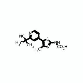 Cc1nc(NC(=O)O)sc1-c1ccnc(C(C)(C)C#N)c1